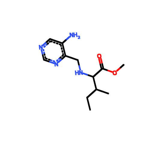 CCC(C)C(NCc1ncncc1N)C(=O)OC